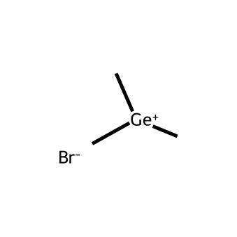 [Br-].[CH3][Ge+]([CH3])[CH3]